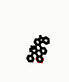 c1ccc(-c2cccc(-c3cccc4sc5ccccc5c34)c2-c2nnnc(-c3ccccc3)c2-c2ccccc2)cc1